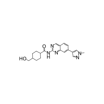 Cn1cc(-c2ccc3cnc(NC(=O)C4CCC(CO)CC4)nc3c2)cn1